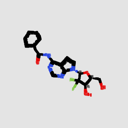 O=C(Nc1ncnc2c1ccn2[C@@H]1O[C@H](CO)[C@@H](O)C1(F)F)c1ccccc1